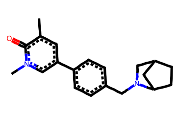 Cc1cc(-c2ccc(CN3CC4CCC3C4)cc2)cn(C)c1=O